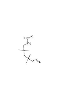 C=CCC(C)(C)CC(C)(C)CPBI